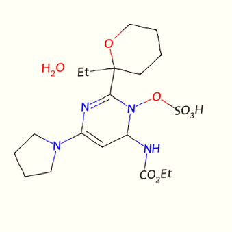 CCOC(=O)NC1C=C(N2CCCC2)N=C(C2(CC)CCCCO2)N1OS(=O)(=O)O.O